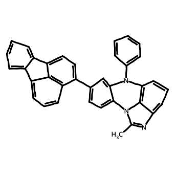 Cc1nc2cccc3c2n1-c1ccc(-c2ccc4c5c(cccc25)-c2ccccc2-4)cc1N3c1ccccc1